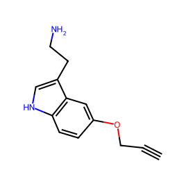 C#CCOc1ccc2[nH]cc(CCN)c2c1